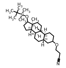 CC(C)(C)[Si](C)(C)OC1CC[C@H]2[C@@H]3CC[C@H]4CC(OCCC#N)CC[C@@H]4[C@H]3CC[C@]12C